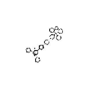 Cc1c(-c2ccc(C3=CC[C@@H](C4C=CC(C5(C6=CCCCC6)C6=CC=CCC6OC6=C5C=CCC6)=CC4)C=C3)cc2)cc(C2C=CC=CC2)nc1-c1ccccc1